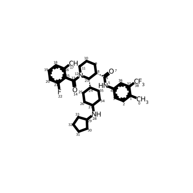 Cc1ccc(NC(=O)[C@H]2CCCN(C(=O)c3c(C)cccc3F)[C@H]2C2CCC(NC3CCCC3)CC2)cc1C(F)(F)F